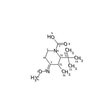 CON=C1CCN(C(=O)O)C(C(C)(C)C)C1C